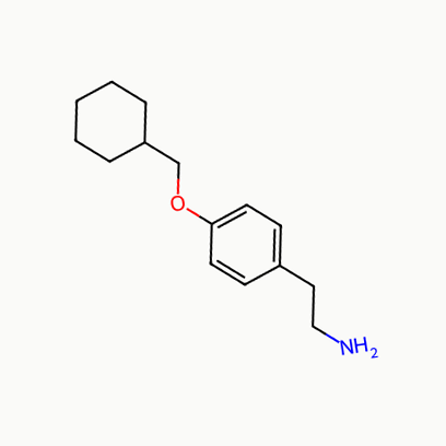 NCCc1ccc(OCC2CCCCC2)cc1